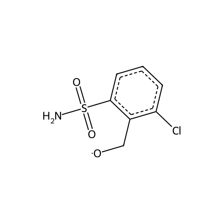 NS(=O)(=O)c1cccc(Cl)c1C[O]